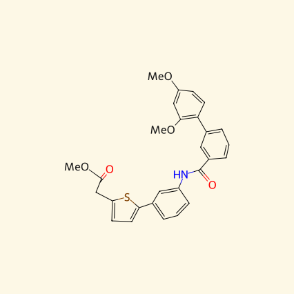 COC(=O)Cc1ccc(-c2cccc(NC(=O)c3cccc(-c4ccc(OC)cc4OC)c3)c2)s1